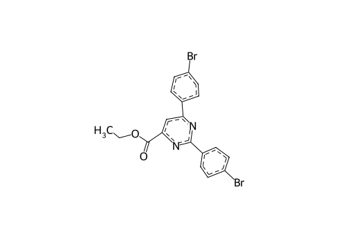 CCOC(=O)c1cc(-c2ccc(Br)cc2)nc(-c2ccc(Br)cc2)n1